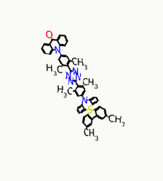 Cc1ccc2c(c1)-c1cc(C)ccc1S21c2ccccc2N(c2cc(C)c(-c3nnc(-c4c(C)cc(-n5c6ccccc6c(=O)c6ccccc65)cc4C)nn3)c(C)c2)c2ccccc21